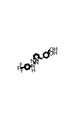 OC[C@]1(O)CC[C@@H](Cc2cccc3nc(Nc4ccc(C(F)(F)F)cc4)nn23)CC1